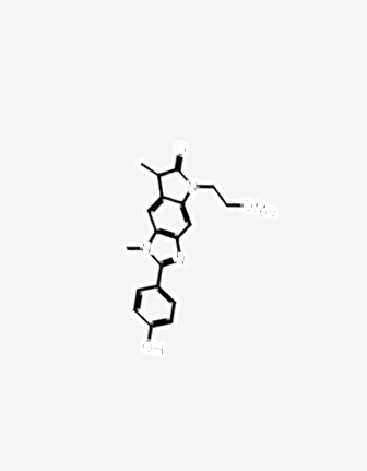 COCCN1C(=O)C(C)c2cc3c(cc21)nc(-c1ccc(O)cc1)n3C